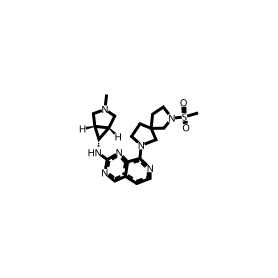 CN1C[C@@H]2[C@H](C1)[C@@H]2Nc1ncc2ccnc(N3CCC4(CCN(S(C)(=O)=O)C4)C3)c2n1